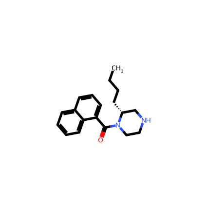 CCCC[C@@H]1CNCCN1C(=O)c1cccc2ccccc12